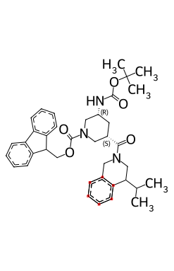 CC(C)C(CN(Cc1ccccc1)C(=O)[C@H]1C[C@@H](NC(=O)OC(C)(C)C)CN(C(=O)OCC2c3ccccc3-c3ccccc32)C1)c1ccccc1